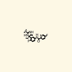 C=C[C@@](CC)(NC(=N)N(C)C)c1cc(NC(=O)c2ccc(F)cn2)ccc1F